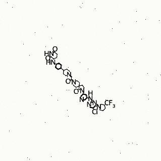 O=C1CCC(Nc2ccc(C3CCN(CC(=O)N4CCC5(CC4)CCN(c4cncc(Nc6ncc(Cl)c(N7CCC[C@H](C(F)(F)F)C7)n6)c4)C5=O)CC3)cc2)C(=O)N1